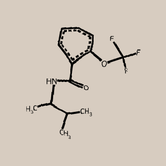 CC(C)C(C)NC(=O)c1ccccc1OC(F)(F)F